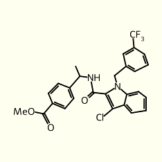 COC(=O)c1ccc(C(C)NC(=O)c2c(Cl)c3ccccc3n2Cc2cccc(C(F)(F)F)c2)cc1